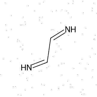 N=CC=N